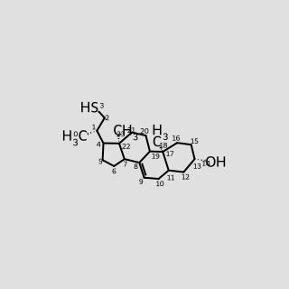 C[C@H](CS)C1CCC2C3=CCC4C[C@@H](O)CC[C@]4(C)C3CC[C@@]21C